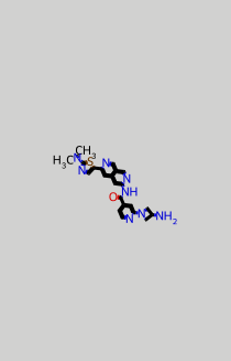 CN(C)c1ncc(-c2cc3cc(NC(=O)c4ccnc(N5CC(N)C5)c4)ncc3cn2)s1